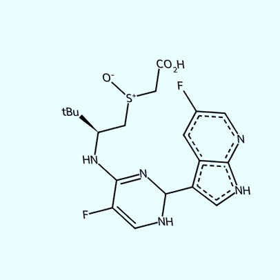 CC(C)(C)[C@@H](C[S+]([O-])CC(=O)O)NC1=NC(c2c[nH]c3ncc(F)cc23)NC=C1F